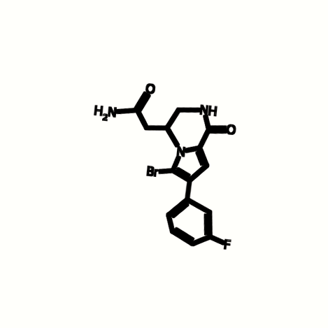 NC(=O)CC1CNC(=O)c2cc(-c3cccc(F)c3)c(Br)n21